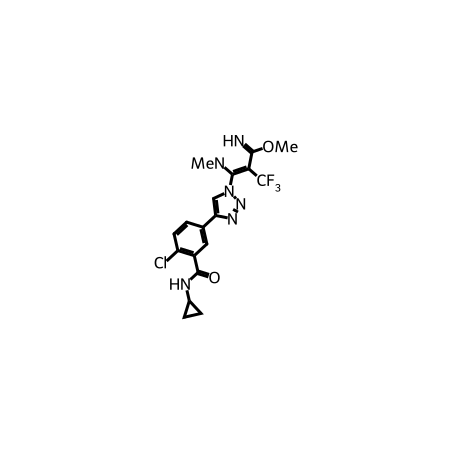 CN/C(=C(\C(=N)OC)C(F)(F)F)n1cc(-c2ccc(Cl)c(C(=O)NC3CC3)c2)nn1